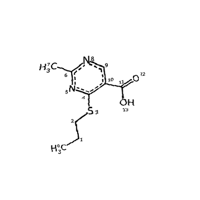 CCCSc1nc(C)ncc1C(=O)O